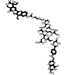 CCc1c2c(nc3ccc(OC(=O)OCCSSC[C@H](C=O)NC(=O)[C@H](CC(=O)O)NC(=O)[C@@H](CCCNC(=N)N)NC(=O)[C@H](CC(=O)O)NC(=O)CC[C@@H](NC(=O)c4ccc(NCc5cnc6nc(N)[nH]c(=O)c6n5)cc4)C(=O)O)cc13)-c1cc3c(c(=O)n1C2)COC(=O)C3(O)CC